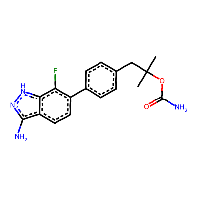 CC(C)(Cc1ccc(-c2ccc3c(N)n[nH]c3c2F)cc1)OC(N)=O